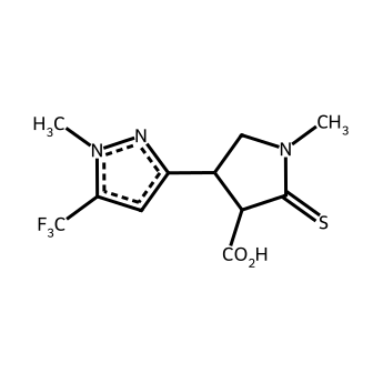 CN1CC(c2cc(C(F)(F)F)n(C)n2)C(C(=O)O)C1=S